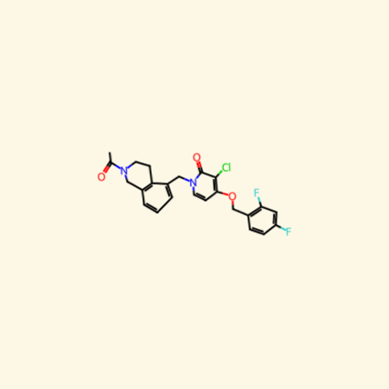 CC(=O)N1CCc2c(cccc2Cn2ccc(OCc3ccc(F)cc3F)c(Cl)c2=O)C1